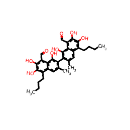 CCCCc1c(O)c(O)c(C=O)c2c(O)c(-c3c(C)cc4c(CCCC)c(O)c(O)c(C=O)c4c3O)c(C)cc12